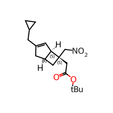 CC(C)(C)OC(=O)C[C@@]1(C[N+](=O)[O-])C[C@H]2CC(CC3CC3)=C[C@H]21